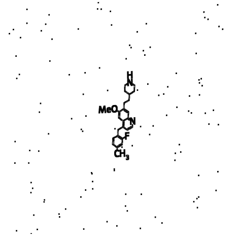 COc1cc2c(Cc3ccc(C)cc3F)ccnc2cc1CCC1CCNCC1